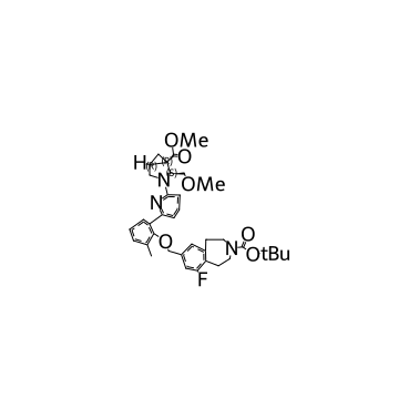 COC[C@H]1N(c2cccc(-c3cccc(C)c3OCc3cc(F)c4c(c3)CCN(C(=O)OC(C)(C)C)CC4)n2)C[C@@H]2C[C@@]21C(=O)OC